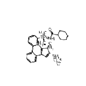 CC1C=Cc2c1c1[c]([Ti+2]([CH3])([CH3])[NH]C(=O)C3CCCCC3)cccc1c1ccccc21.[Cl-].[Cl-].[SiH4]